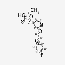 CCOC(Cc1ccnc(OCCOc2ccc(F)cc2)c1)C(=O)O